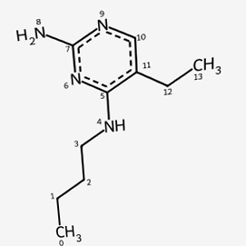 CCCCNc1nc(N)ncc1CC